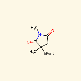 CCCCCC1(C)CC(=O)N(C)C1=O